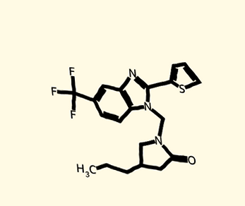 CCCC1CC(=O)N(Cn2c(-c3cccs3)nc3cc(C(F)(F)F)ccc32)C1